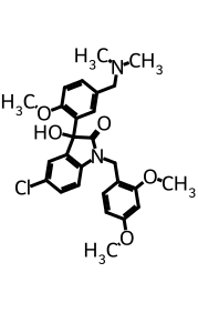 COc1ccc(CN2C(=O)C(O)(c3cc(CN(C)C)ccc3OC)c3cc(Cl)ccc32)c(OC)c1